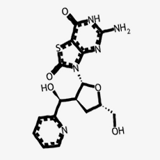 Nc1nc2c(sc(=O)n2[C@@H]2O[C@H](CO)C[C@H]2[C@H](O)c2ccccn2)c(=O)[nH]1